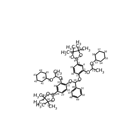 CC(Oc1cc(B2OC(C)(C)C(C)(C)O2)ccc1OC(Oc1ccc(B2OC(C)(C)C(C)(C)O2)cc1OC(C)OC1CCCCC1)c1ccccc1)OC1CCCCC1